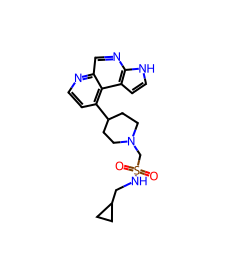 O=S(=O)(CN1CCC(c2ccnc3cnc4[nH]ccc4c23)CC1)NCC1CC1